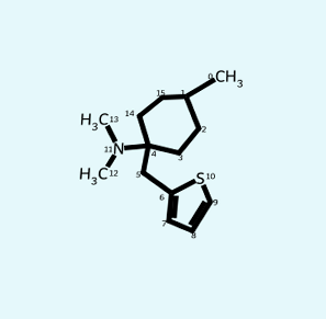 CC1CCC(Cc2cccs2)(N(C)C)CC1